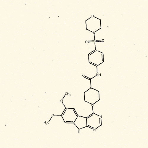 COc1cc2[nH]c3ncnc(N4CCN(C(=S)Nc5ccc(S(=O)(=O)N6CCOCC6)cc5)CC4)c3c2cc1OC